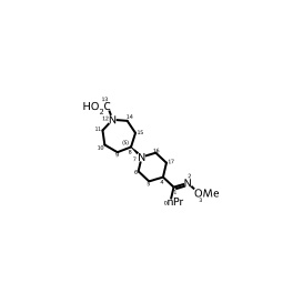 CCCC(=NOC)C1CCN([C@H]2CCCN(C(=O)O)CC2)CC1